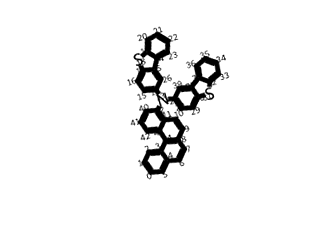 c1ccc2c(c1)ccc1ccc3c(N(c4ccc5sc6ccccc6c5c4)c4ccc5sc6ccccc6c5c4)cccc3c12